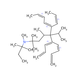 C=C/C=C\C(=C/C=C)C(C(/C=C\C)=C/C=C\C)(C(C)C)C(C)CC(C)(C)N(C)C(C)(C)CC